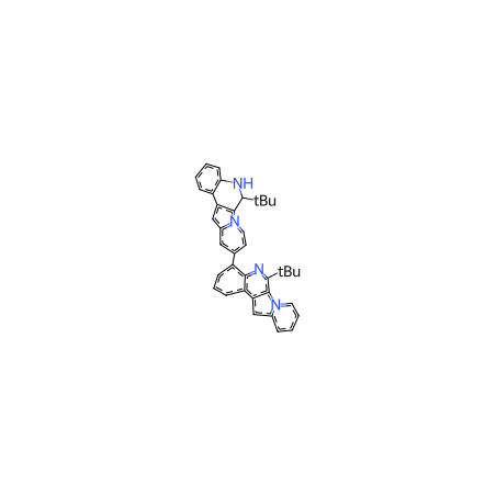 CC(C)(C)c1nc2c(-c3ccn4c5c(cc4c3)-c3ccccc3NC5C(C)(C)C)cccc2c2cc3ccccn3c12